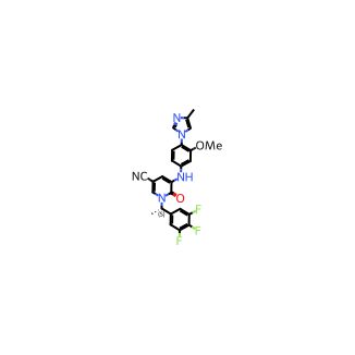 COc1cc(Nc2cc(C#N)cn([C@@H](C)c3cc(F)c(F)c(F)c3)c2=O)ccc1-n1cnc(C)c1